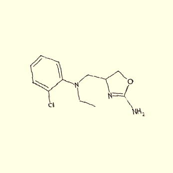 CCN(CC1COC(N)=N1)c1ccccc1Cl